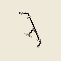 CCCC/C=C\COC(=O)CCCCCCCCCC(CCCCCCCCCC(=O)OC/C=C\CCCC)OC(=O)CCCCN(C)C